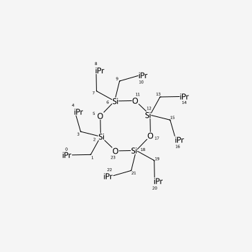 CC(C)C[Si]1(CC(C)C)O[Si](CC(C)C)(CC(C)C)O[Si](CC(C)C)(CC(C)C)O[Si](CC(C)C)(CC(C)C)O1